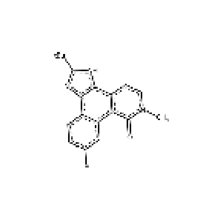 Cn1ccc2c3[nH]c(C(C)(C)C)nc3c3ccc(F)cc3c2c1=O